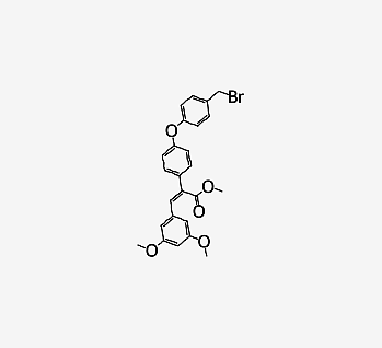 COC(=O)C(=Cc1cc(OC)cc(OC)c1)c1ccc(Oc2ccc(CBr)cc2)cc1